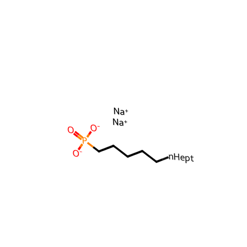 CCCCCCCCCCCCP(=O)([O-])[O-].[Na+].[Na+]